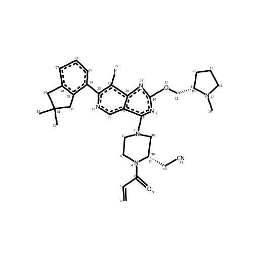 C=CC(=O)N1CCN(c2nc(OC[C@@H]3CCCN3C)nc3c(F)c(-c4cccc5c4CC(C)(C)C5)ncc23)C[C@@H]1CC#N